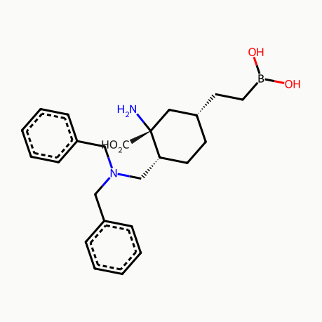 N[C@]1(C(=O)O)C[C@H](CCB(O)O)CC[C@@H]1CN(Cc1ccccc1)Cc1ccccc1